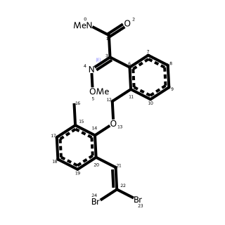 CNC(=O)/C(=N/OC)c1ccccc1COc1c(C)cccc1C=C(Br)Br